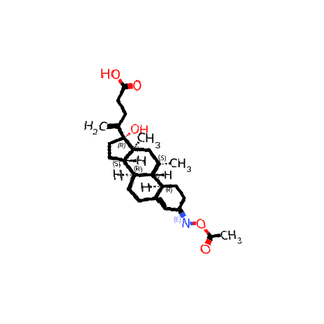 C=C(CCC(=O)O)[C@]1(O)CC[C@H]2[C@@H]3CCC4=C/C(=N/OC(C)=O)CC[C@@H]4[C@H]3[C@@H](C)C[C@@]21C